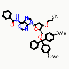 COc1ccc(C(OC[C@H]2O[C@@H](n3cnc4c(NC(=O)c5ccccc5)ncnc43)C[C@@H]2OCCC#N)(c2ccccc2)c2ccc(OC)cc2)cc1